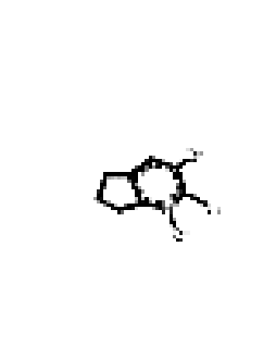 [O-][n+]1c(Cl)c(Br)cc2c1CCC2